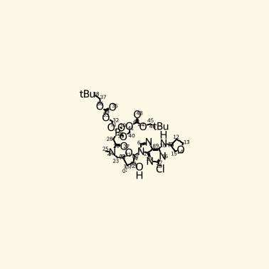 C[C@H]1[C@@H](O)[C@H](n2cnc3c(N[C@H]4CCOC4)nc(Cl)nc32)O[C@@H]1CN(C)C(=O)CP(=O)(OCOC(=O)OCC(C)(C)C)OCOC(=O)OCC(C)(C)C